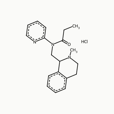 CCC(=O)N(CC1c2ccccc2CCN1C)c1ccccn1.Cl